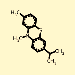 Cc1ccc2c(c1)N(C)c1ccc(C(C)C)cc1S2